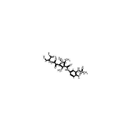 Cc1c(C(=O)Nc2ccc(F)c(NS(C)(=O)=O)c2)c(C)n(C)c1C(=O)C(=O)NC(CF)C(F)F